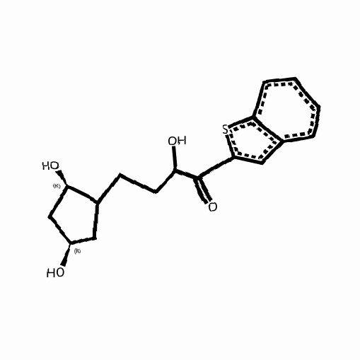 O=C(c1cc2ccccc2s1)C(O)CCC1C[C@@H](O)C[C@H]1O